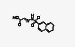 O=C(O)C=NNS(=O)(=O)c1ccc2ccccc2c1